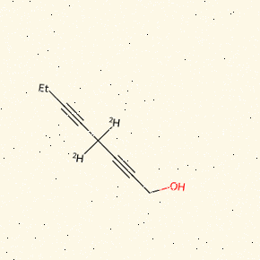 [2H]C([2H])(C#CCC)C#CCO